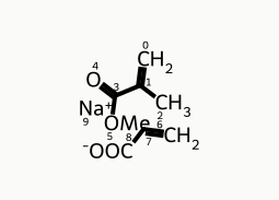 C=C(C)C(=O)OC.C=CC(=O)[O-].[Na+]